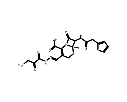 CCC(=O)C(=O)NN=CC1=C(C(=O)O)N2C(=O)C(NC(=O)Cc3cccs3)[C@@H]2SC1